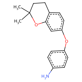 CC1(C)CCc2ccc(Oc3ccc(N)cc3)cc2O1